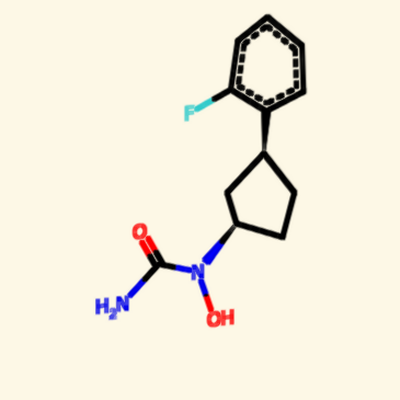 NC(=O)N(O)[C@@H]1CC[C@H](c2ccccc2F)C1